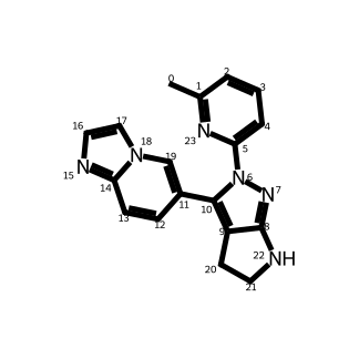 Cc1cccc(-n2nc3c(c2-c2ccc4nccn4c2)CCN3)n1